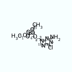 CCOOP(=O)(COCCn1cnc2c(Cl)nc(N)nc21)OOCC